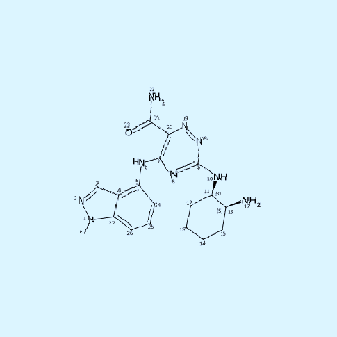 Cn1ncc2c(Nc3nc(N[C@@H]4CCCC[C@@H]4N)nnc3C(N)=O)cccc21